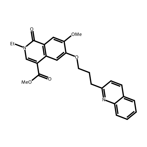 CCn1cc(C(=O)OC)c2cc(OCCCc3ccc4ccccc4n3)c(OC)cc2c1=O